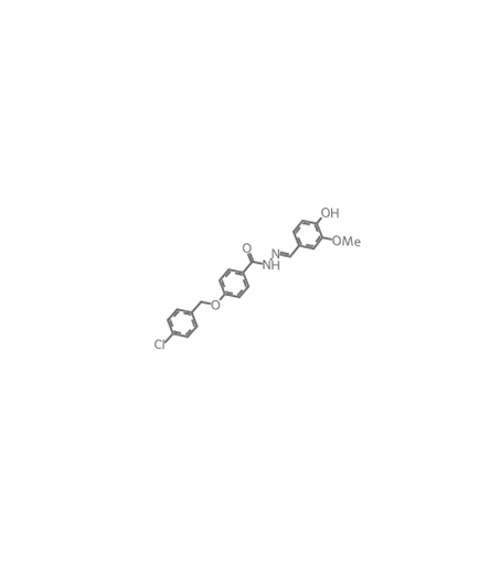 COc1cc(/C=N/NC(=O)c2ccc(OCc3ccc(Cl)cc3)cc2)ccc1O